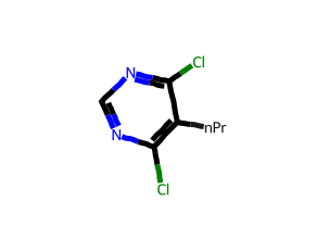 CCCc1c(Cl)ncnc1Cl